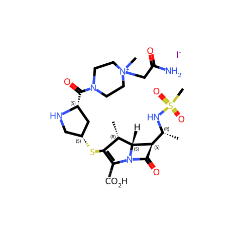 C[C@@H](NS(C)(=O)=O)[C@H]1C(=O)N2C(C(=O)O)=C(S[C@@H]3CN[C@H](C(=O)N4CC[N+](C)(CC(N)=O)CC4)C3)[C@H](C)[C@H]12.[I-]